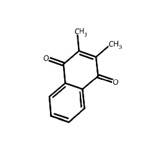 CC1=C(C)C(=O)c2ccccc2C1=O